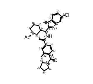 C=C(NC(c1nc2cc(Cl)ccc2[nH]1)C1CCCN(C(C)=O)C1)c1ccc(C(=O)N2CCCC2)c(C)c1